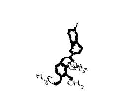 C=Cc1c(/C=C\C)cc/c(=C/C(=C\C)c2ccc3cc(I)ccc3c2)c1=C